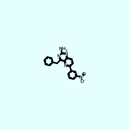 Nc1nc(Cc2ccccc2)c2nc(-c3cccc([N+](=O)[O-])c3)ccc2n1